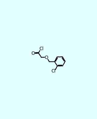 O=C(Cl)COCc1ccccc1Cl